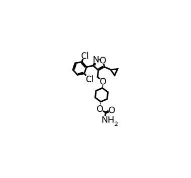 NC(=O)O[C@H]1CC[C@@H](OCc2c(-c3c(Cl)cccc3Cl)noc2C2CC2)CC1